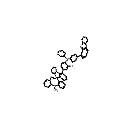 Cc1cc(-c2cccc3c2-c2ccccc2C32/C=N/c3ccccc3N(C)c3ccccc32)ccc1N(c1ccccc1)c1ccc(-c2cccc3c2oc2ccccc23)cc1